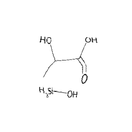 CC(O)C(=O)O.O[SiH3]